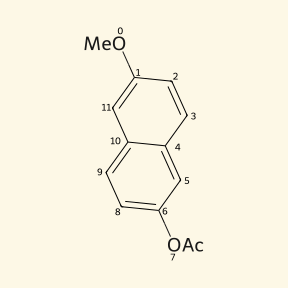 COc1ccc2cc(OC(C)=O)ccc2c1